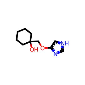 OC1(COc2c[nH]cn2)CCCCC1